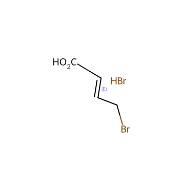 Br.O=C(O)/C=C/CBr